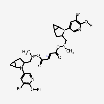 CCOc1ncc(N2C(CN(C)OC(=O)/C=C/C(=O)ON(C)CC3CC4CC4N3c3cnc(OCC)c(Br)c3)CC3CC32)cc1Br